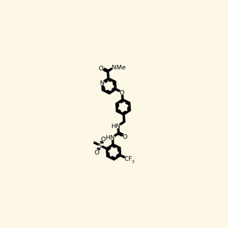 CNC(=O)c1cc(Oc2ccc(CNC(=O)Nc3cc(C(F)(F)F)ccc3S(C)(=O)=O)cc2)ccn1